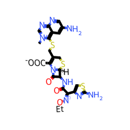 CCO/N=C(\C(=O)NC1C(=O)N2C(C(=O)[O-])=C(CSc3c4cc(N)cnc4nc[n+]3C)CS[C@@H]12)c1csc(N)n1